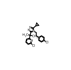 CC(C)(c1cccc(Cl)n1)c1nnc(C2CC2)n1CCc1ccc(Cl)cc1